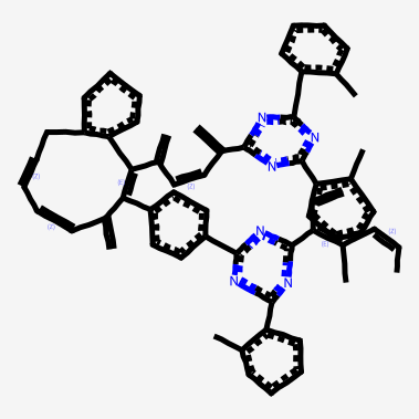 C=C/C(=C(C)\C=C/C)c1nc(-c2ccc(/C3=C(\C(=C)/C=C\C(=C)c4nc(-c5ccccc5C)nc(-c5ccccc5C)n4)c4ccccc4C/C=C\C=C/C3=C)cc2)nc(-c2ccccc2C)n1